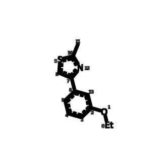 CCOc1cccc(-c2csc(C)n2)c1